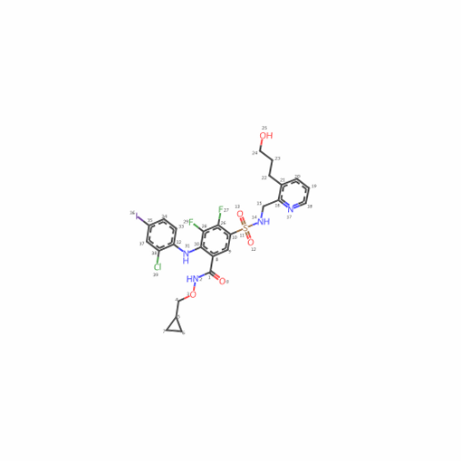 O=C(NOCC1CC1)c1cc(S(=O)(=O)NCc2ncccc2CCCO)c(F)c(F)c1Nc1ccc(I)cc1Cl